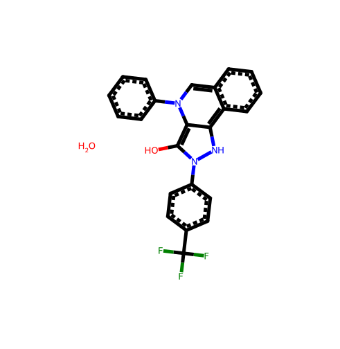 O.OC1=C2C(=c3ccccc3=CN2c2ccccc2)NN1c1ccc(C(F)(F)F)cc1